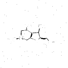 CCOC=C1SC2=C(C(N)CN(C)C2)C1C#N